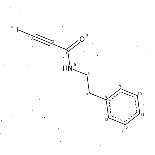 O=C(C#CI)NCCc1ccccc1